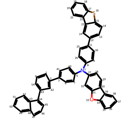 c1cc(-c2ccc(N(c3ccc(-c4ccc5sc6ccccc6c5c4)cc3)c3ccc4c(c3)oc3ccccc34)cc2)cc(-c2cccc3ccccc23)c1